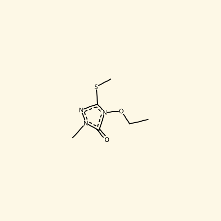 CCOn1c(SC)nn(C)c1=O